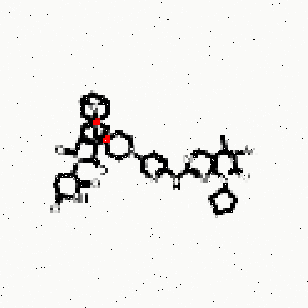 CC(=O)c1c(C)c2cnc(Nc3ccc(N4CCC(CN5CC6CC(C5)N6c5ccc6c(c5)C(=O)N(C5CCC(=O)NC5=O)C6=O)CC4)cn3)nc2n(C2CCCC2)c1=O